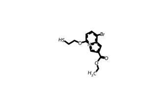 CCOC(=O)c1cc2c(Br)ccc(OCCS)n2c1